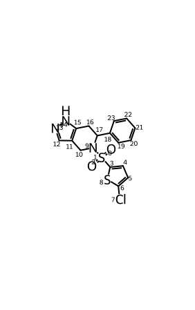 O=S(=O)(c1ccc(Cl)s1)N1Cc2cn[nH]c2CC1c1ccccc1